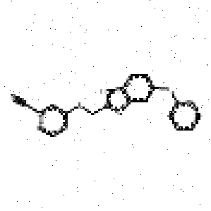 N#Cc1cc(SCc2nc3cc(Oc4ccccc4)ccc3[nH]2)ccn1